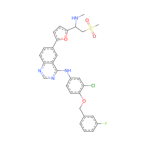 CNC(CS(C)(=O)=O)c1ccc(-c2ccc3ncnc(Nc4ccc(OCc5cccc(F)c5)c(Cl)c4)c3c2)o1